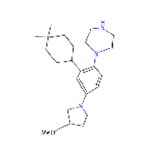 COC1CCN(c2ccc(N3CCNCC3)c(C3CCC(C)(C)CC3)c2)C1